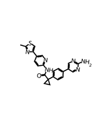 Cc1nc(-c2ccc(NC(=O)C3(c4ccc(-c5cnc(N)nc5)cc4)CC3)nc2)cs1